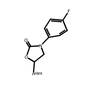 CCCCCCC1CN(c2ccc(F)cc2)C(=O)O1